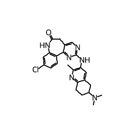 Cc1nc2c(cc1Nc1ncc3c(n1)-c1ccc(Cl)cc1NC(=O)C3)CC(N(C)C)CC2